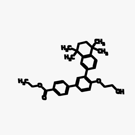 CCOC(=O)c1ccc(-c2ccc(OCCO)c(-c3ccc4c(c3)C(C)(C)CCC4(C)C)c2)cc1